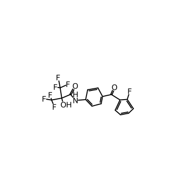 O=C(c1ccc(NC(=O)C(O)(C(F)(F)F)C(F)(F)F)cc1)c1ccccc1F